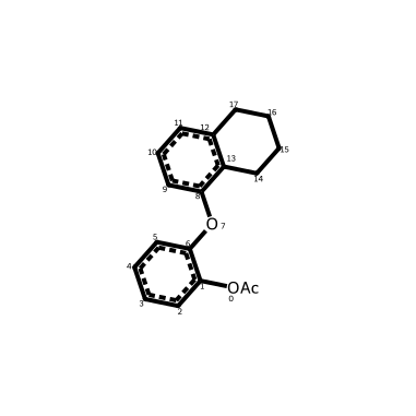 CC(=O)Oc1ccccc1Oc1cccc2c1CCCC2